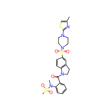 Cc1csc(N2CCN(S(=O)(=O)c3ccc4c(c3)CCN4C(=O)c3ccccc3N(C)S(C)(=O)=O)CC2)n1